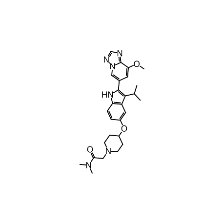 COc1cc(-c2[nH]c3ccc(OC4CCN(CC(=O)N(C)C)CC4)cc3c2C(C)C)cn2ncnc12